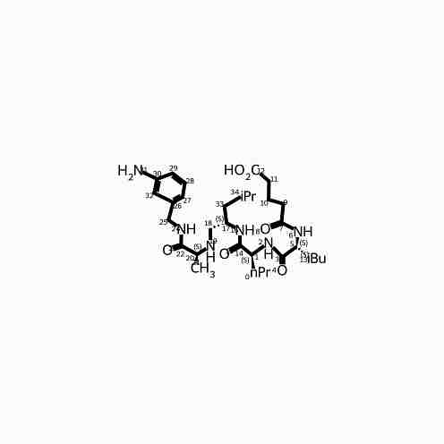 CCC[C@H](NC(=O)[C@@H](NC(=O)CCCC(=O)O)[C@@H](C)CC)C(=O)N[C@H](CN[C@@H](C)C(=O)NCc1cccc(N)c1)CC(C)C